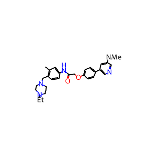 CCN1CCN(Cc2ccc(NC(=O)COc3ccc(-c4cncc(NC)c4)cc3)cc2C)CC1